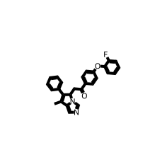 CC1=C(c2ccccc2)C(CC(=O)c2ccc(Oc3ccccc3F)cc2)n2cncc21